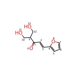 O=C(C=Cc1ccco1)C(CO)CO